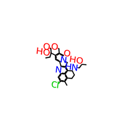 CC[C@@]1(O)C(=O)OCc2c1cc1n(c2=O)Cc2c-1nc1cc(Cl)c(C)c3c1c2[C@H](NCC(C)O)CC3